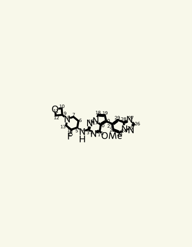 COc1nc(N[C@@H]2CCN(C3COC3)C[C@@H]2F)nn2ccc(-c3ccn4ncnc4c3)c12